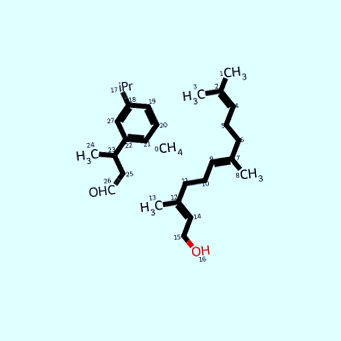 C.CC(C)=CCCC(C)=CCCC(C)=CCO.CC(C)c1cccc(C(C)CC=O)c1